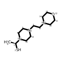 C[C@H](S)N1CCN(CCN2CCOCC2)CC1